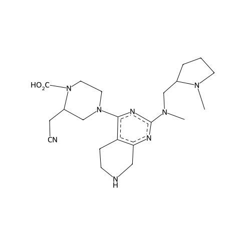 CN(CC1CCCN1C)c1nc2c(c(N3CCN(C(=O)O)C(CC#N)C3)n1)CCNC2